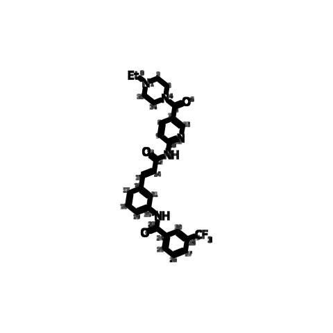 CCN1CCN(C(=O)c2ccc(NC(=O)C=Cc3cccc(NC(=O)c4cccc(C(F)(F)F)c4)c3)nc2)CC1